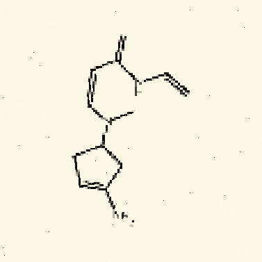 C=CNC(=C)/C=C\N(C)C1CC=C(N)C1